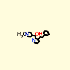 CN1CCC(C(O)c2ncccc2CCc2ccccc2)CC1